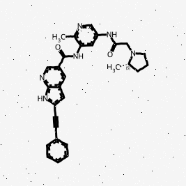 Cc1ncc(NC(=O)CN2CCC[C@@H]2C)cc1NC(=O)c1cnc2[nH]c(C#Cc3ccccc3)cc2c1